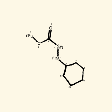 CCCCOC(=O)NNC1CCCCC1